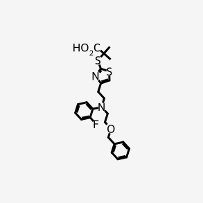 CC(C)(Sc1nc(CCN(CCOCc2ccccc2)c2ccccc2F)cs1)C(=O)O